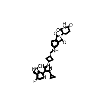 Cn1ncc2c(F)cnc(-c3cn([C@H]4C[C@H](CNc5ccc6c(c5)C(=O)N(C5CCC(=O)NC5=O)C6=O)C4)nc3C3CC3)c21